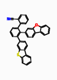 N#Cc1ccccc1-c1cccc(-c2ccc3c(c2)sc2ccccc23)c1-c1ccc2c(c1)oc1ccccc12